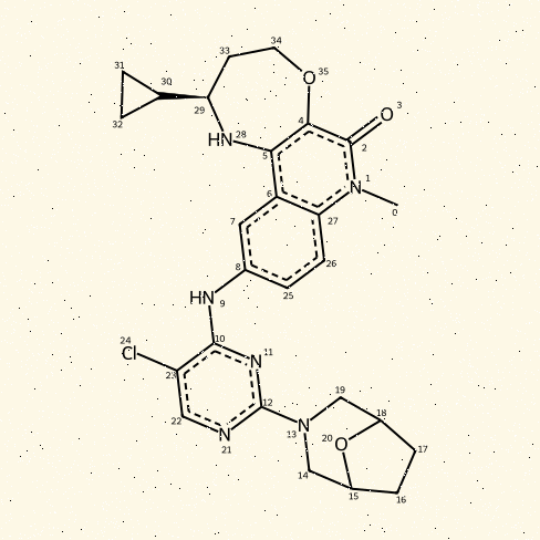 Cn1c(=O)c2c(c3cc(Nc4nc(N5CC6CCC(C5)O6)ncc4Cl)ccc31)N[C@@H](C1CC1)CCO2